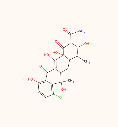 CC1C(O)C(C(N)=O)C(=O)C2(O)C(O)=C3C(=O)c4c(O)ccc(Cl)c4C(C)(O)C3CC12